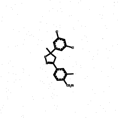 CCOC(=O)c1ccc(C2=NOC(C)(c3cc(Cl)cc(Cl)c3)C2)cc1C